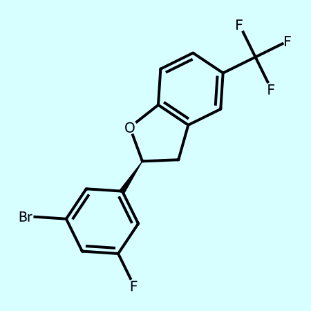 Fc1cc(Br)cc([C@@H]2Cc3cc(C(F)(F)F)ccc3O2)c1